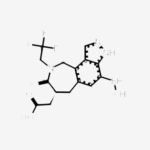 CBc1cc2c(c3cn[nH]c13)CN(CC(F)(F)F)C(=O)[C@H](CC(=O)O)C2